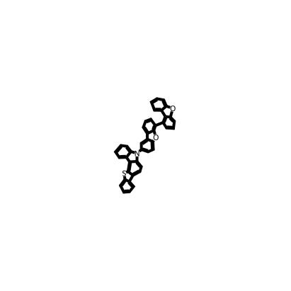 c1ccc2c(c1)oc1cccc(-c3cccc4c3oc3ccc(-n5c6ccccc6c6c7sc8ccccc8c7ccc65)cc34)c12